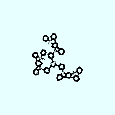 S=P1(c2ccccc2)c2ccccc2-c2cc3c4ccccc4n(-c4cccc(-c5cc(-c6cccc(-n7c8ccccc8c8cc9c(cc87)P(=S)(c7ccccc7)c7ccccc7-9)c6)nc(-c6cccc(-n7c8ccccc8c8cc9c(cc87)P(=S)(c7ccccc7)c7ccccc7-9)c6)n5)c4)c3cc21